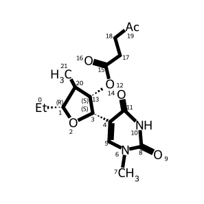 CC[C@H]1O[C@@H](c2cn(C)c(=O)[nH]c2=O)[C@@H](OC(=O)CCC(C)=O)C1C